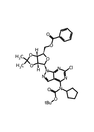 CC(C)(C)OC(=O)N(c1nc(Cl)nc2c1cnn2[C@@H]1O[C@H](COC(=O)c2ccccc2)[C@H]2OC(C)(C)O[C@H]21)C1CCCC1